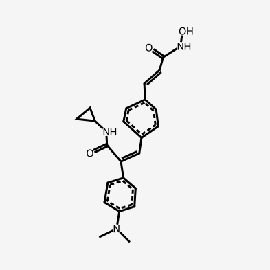 CN(C)c1ccc(C(=Cc2ccc(C=CC(=O)NO)cc2)C(=O)NC2CC2)cc1